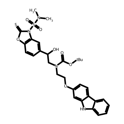 CN(C)S(=O)(=O)n1c(=S)oc2ccc(C(O)CN(CCOc3ccc4c(c3)[nH]c3ccccc34)C(=O)OC(C)(C)C)cc21